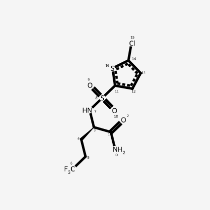 NC(=O)[C@@H](CCC(F)(F)F)NS(=O)(=O)c1ccc(Cl)s1